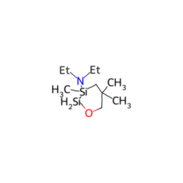 CCN(CC)[Si]1(C)CC(C)(C)CO[SiH2]1